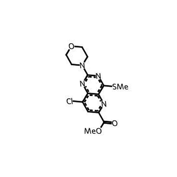 COC(=O)c1cc(Cl)c2nc(N3CCOCC3)nc(SC)c2n1